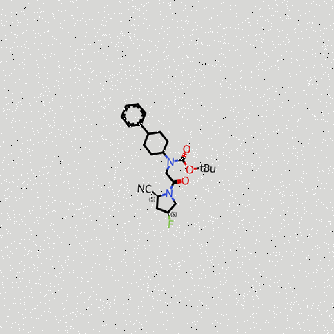 CC(C)(C)OC(=O)N(CC(=O)N1C[C@@H](F)C[C@H]1C#N)C1CCC(c2ccccc2)CC1